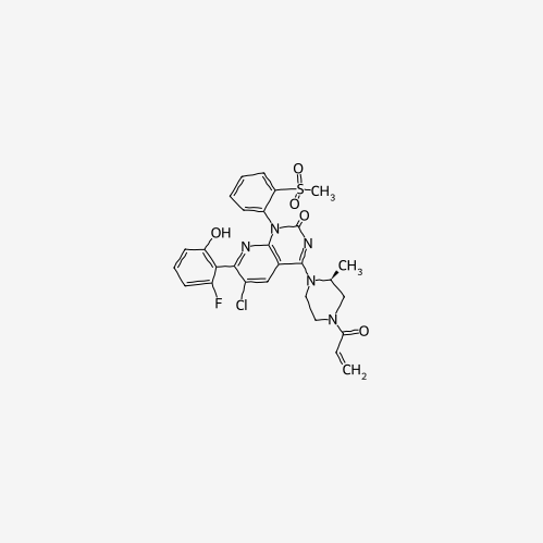 C=CC(=O)N1CCN(c2nc(=O)n(-c3ccccc3S(C)(=O)=O)c3nc(-c4c(O)cccc4F)c(Cl)cc23)[C@@H](C)C1